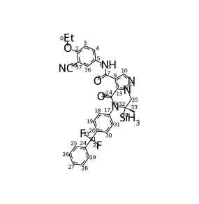 CCOc1ccc(NC(=O)c2cnn3c2C(=O)N(c2ccc(C(F)(F)c4ccccc4)cc2)[C@@](C)([SiH3])C3)cc1C#N